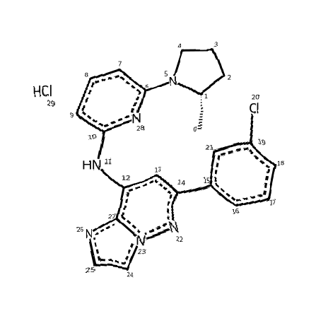 C[C@H]1CCCN1c1cccc(Nc2cc(-c3cccc(Cl)c3)nn3ccnc23)n1.Cl